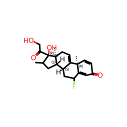 CC1C[C@H]2[C@@H]3CC(F)C4=CC(=O)C=C[C@]4(C)C3=CC[C@]2(C)[C@@]1(O)C(=O)CO